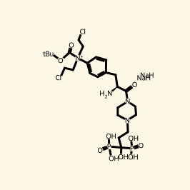 CC(C)(C)OC(=O)[N+](CCCl)(CCCl)c1ccc(C[C@H](N)C(=O)N2CCN(CCC(O)(P(=O)(O)O)P(=O)(O)O)CC2)cc1.[NaH].[NaH]